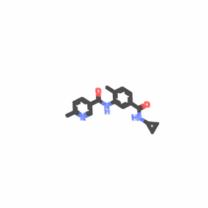 Cc1ccc(C(=O)Nc2cc(C(=O)NC3CC3)ccc2C)cn1